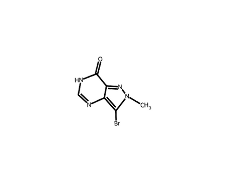 Cn1nc2c(=O)[nH]cnc2c1Br